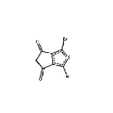 O=C1CC(=O)c2c(Br)sc(Br)c21